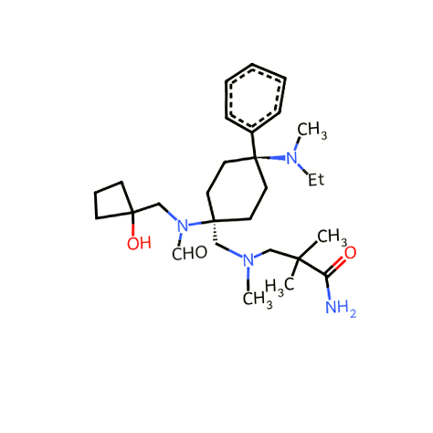 CCN(C)[C@]1(c2ccccc2)CC[C@](CN(C)CC(C)(C)C(N)=O)(N(C=O)CC2(O)CCC2)CC1